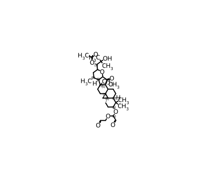 CC(=O)O[C@@H](C1C[C@@H](C)[C@H]2C(O1)C(=O)[C@@]1(C)C3CC[C@H]4C(C)(C)[C@@H](O[C@@H](C=O)OCC=O)CC[C@@]45C[C@@]35CC[C@]21C)C(C)(C)O